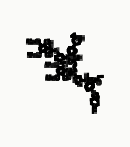 C=CC(=O)Nc1cc(N2CCC3(CCNCC3)C2)ccc1Nc1cc(N(C/C=C/C(=O)Nc2cc(C3CCNC4(CC4)C3)ccc2Nc2cc(N(C)C(=O)Nc3c(Cl)c(OC)cc(OC)c3Cl)ncn2)C(=O)Nc2c(Cl)c(OC)cc(OC)c2Cl)ncn1